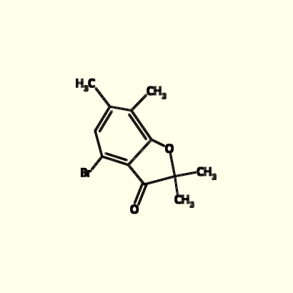 Cc1cc(Br)c2c(c1C)OC(C)(C)C2=O